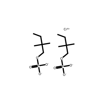 CCC(C)(C)COP(=O)([O-])[O-].CCC(C)(C)COP(=O)([O-])[O-].[Cr+4]